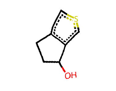 OC1CCc2cscc21